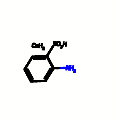 Nc1ccccc1S(=O)(=O)O.[CaH2]